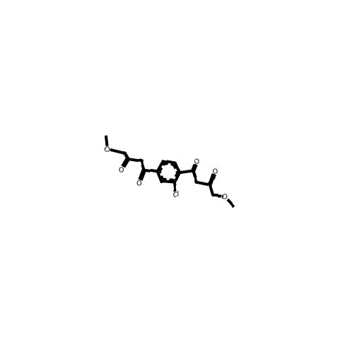 COCC(=O)CC(=O)c1ccc(C(=O)CC(=O)COC)c(Cl)c1